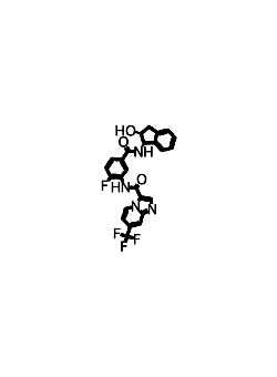 O=C(N[C@@H]1c2ccccc2C[C@@H]1O)c1ccc(F)c(NC(=O)c2cnc3cc(C(F)(F)F)ccn23)c1